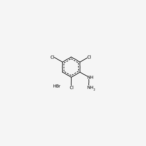 Br.NNc1c(Cl)cc(Cl)cc1Cl